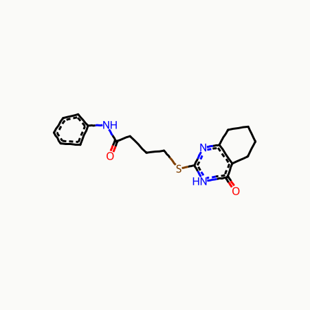 O=C(CCCSc1nc2c(c(=O)[nH]1)CCCC2)Nc1ccccc1